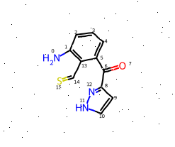 Nc1cccc(C(=O)c2cc[nH]n2)c1C=S